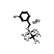 [B+2]c1cccc(CO[Si](C)(C)C(C)(C)C)c1.[OH-].[OH-]